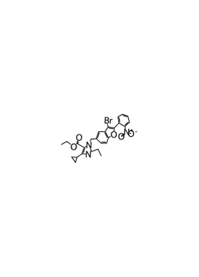 CCOC(=O)c1c(C2CC2)nc(CC)n1Cc1ccc2oc(-c3ccccc3[N+](=O)[O-])c(Br)c2c1